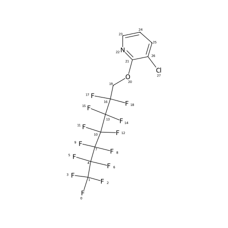 FC(F)(F)C(F)(F)C(F)(F)C(F)(F)C(F)(F)C(F)(F)COc1ncccc1Cl